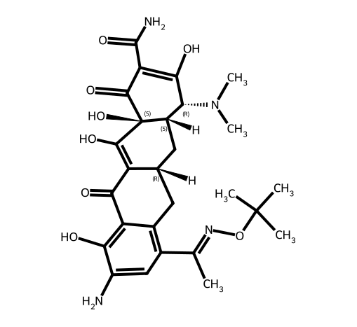 CC(=NOC(C)(C)C)c1cc(N)c(O)c2c1C[C@H]1C[C@H]3[C@@H](N(C)C)C(O)=C(C(N)=O)C(=O)[C@@]3(O)C(O)=C1C2=O